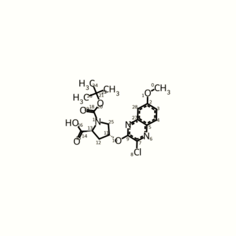 COc1ccc2nc(Cl)c(O[C@@H]3C[C@@H](C(=O)O)N(C(=O)OC(C)(C)C)C3)nc2c1